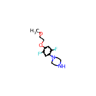 COCCOc1cc(F)c(N2CCNCC2)cc1F